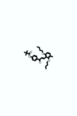 CCCCOc1ccc(C)c(OCCCC)c1C=CC(=O)c1ccc(OC(=O)C(C)(C)C)cc1